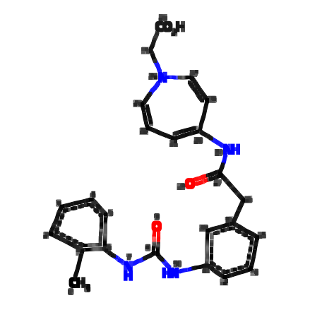 Cc1ccccc1NC(=O)Nc1cccc(CC(=O)NC2=CC=CN(CC(=O)O)C=C2)c1